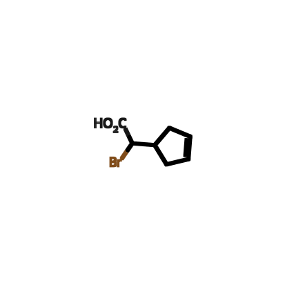 O=C(O)C(Br)C1CC=CC1